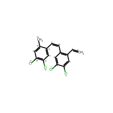 C=Cc1cc(Cl)c(Cl)cc1/C=C\c1cc(Cl)c(Cl)cc1C